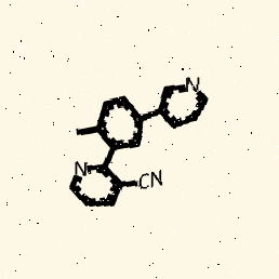 Cc1ccc(-c2cccnc2)cc1-c1ncccc1C#N